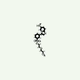 CNc1ccc2ncc(-c3cccc(S(=O)(=O)OCCOCCOC)c3)n2c1